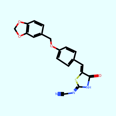 N#CN=C1NC(=O)C(=Cc2ccc(OCc3ccc4c(c3)OCO4)cc2)S1